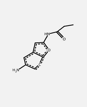 CCC(=O)Nc1cc2cc(N)ccc2o1